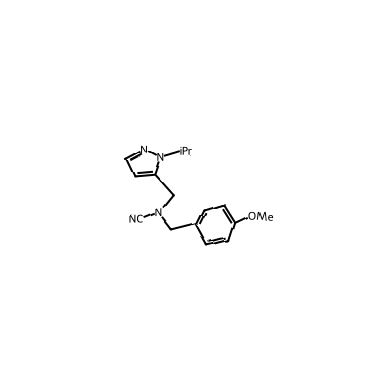 COc1ccc(CN(C#N)Cc2ccnn2C(C)C)cc1